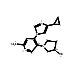 O=C(O)c1cc(-n2cnc(C3CC3)c2)c(N2CC[C@@H](O)C2)cn1